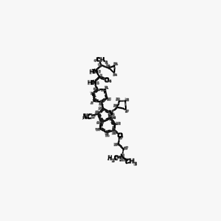 CC(NC(=O)Nc1ccc(-c2c(C#N)c3ccc(OCCN(C)C)cc3n2C2CCC2)cc1)C1CC1